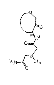 C[C@@H](CC(N)=O)CC(=O)N[C@H]1CCCCOCC1=O